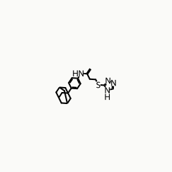 C=C(CCSc1nnc[nH]1)Nc1ccc(C23CC4CC(CC(C4)C2)C3)cc1